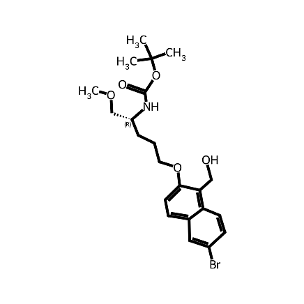 COC[C@@H](CCCOc1ccc2cc(Br)ccc2c1CO)NC(=O)OC(C)(C)C